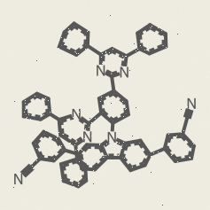 N#Cc1cccc(-c2ccc3c4ccc(-c5cccc(C#N)c5)cc4n(-c4ccc(-c5nc(-c6ccccc6)cc(-c6ccccc6)n5)cc4-c4nc(-c5ccccc5)cc(-c5ccccc5)n4)c3c2)c1